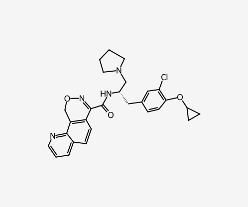 O=C(N[C@@H](Cc1ccc(OC2CC2)c(Cl)c1)CN1CCCC1)C1=NOCc2c1ccc1cccnc21